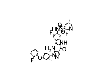 Cc1cnc(F)c(S(=O)(=O)Nc2cc3[nH]c(C(=O)c4cnn(-c5ccc(Oc6ccccc6F)cc5C)c4N)cc3cc2F)c1